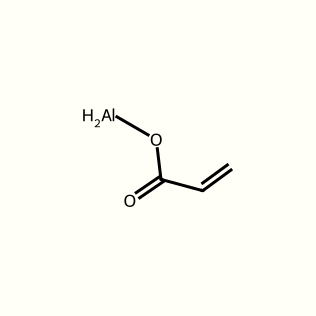 C=CC(=O)[O][AlH2]